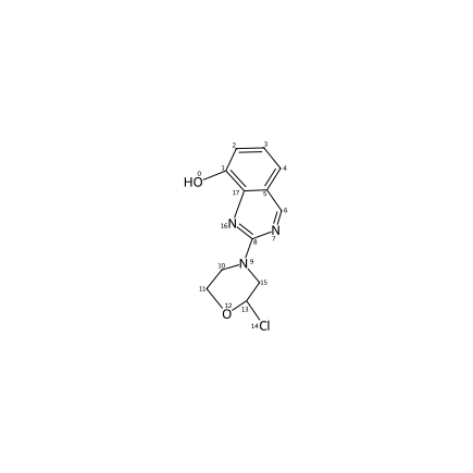 Oc1cccc2cnc(N3CCOC(Cl)C3)nc12